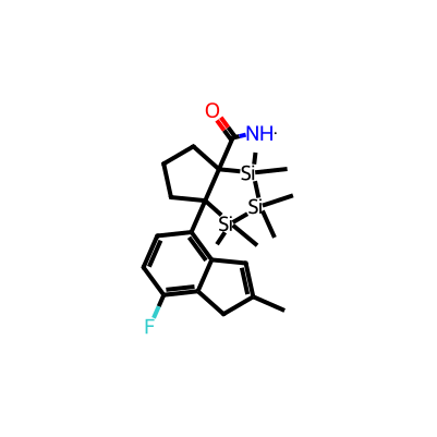 CC1=Cc2c(C34CCCC3(C([NH])=O)[Si](C)(C)[Si](C)(C)[Si]4(C)C)ccc(F)c2C1